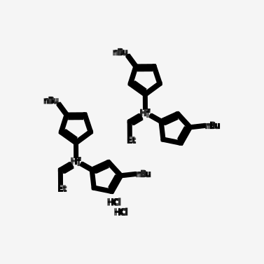 CC[CH]=[Hf]([C]1=CC(CCCC)=CC1)[C]1=CC(CCCC)=CC1.CC[CH]=[Hf]([C]1=CC(CCCC)=CC1)[C]1=CC(CCCC)=CC1.Cl.Cl